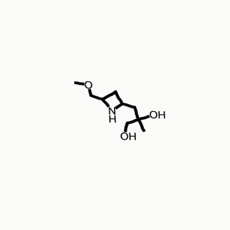 COCC1CC(CC(C)(O)CO)N1